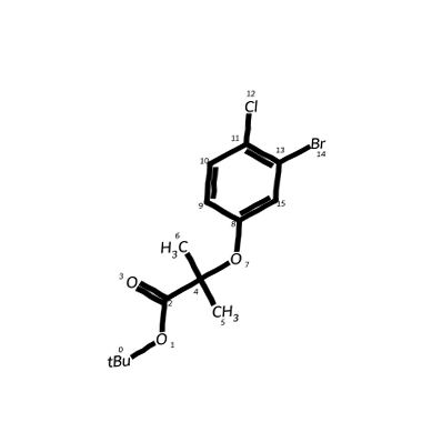 CC(C)(C)OC(=O)C(C)(C)Oc1ccc(Cl)c(Br)c1